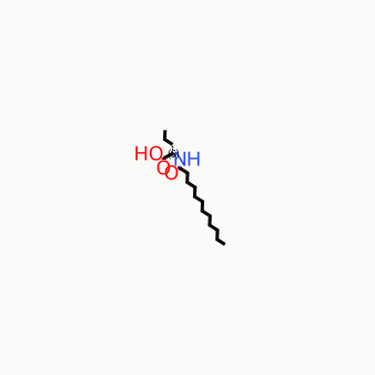 CCCCCCCCCCCC(=O)N[C@@H](CCC)C(=O)O